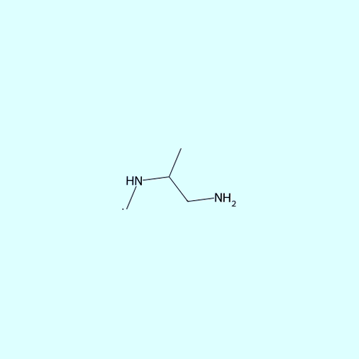 [CH2]NC(C)CN